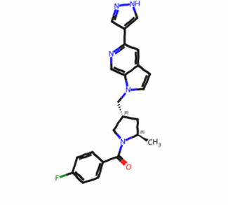 C[C@@H]1C[C@@H](Cn2ccc3cc(-c4cn[nH]c4)ncc32)CN1C(=O)c1ccc(F)cc1